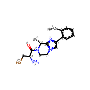 COc1ccccc1-c1cn2c(n1)[C@H](C(C)C)N(C(=O)[C@@H](N)CS)CC2